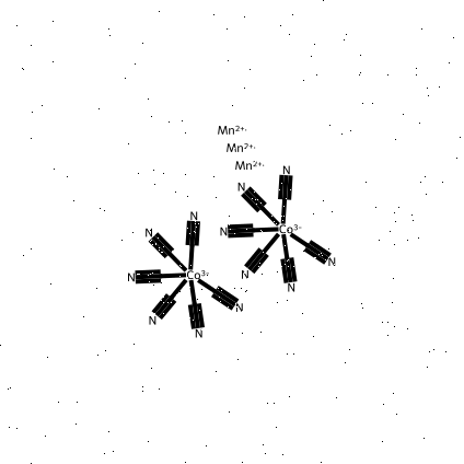 N#[C][Co-3]([C]#N)([C]#N)([C]#N)([C]#N)[C]#N.N#[C][Co-3]([C]#N)([C]#N)([C]#N)([C]#N)[C]#N.[Mn+2].[Mn+2].[Mn+2]